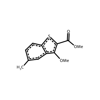 COC(=O)c1sc2ccc(C)cc2c1OC